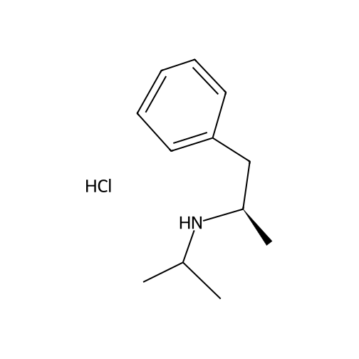 CC(C)N[C@H](C)Cc1ccccc1.Cl